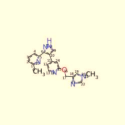 Cc1cccc(-c2n[nH]cc2-c2ccnc(OCc3cn(C)cn3)c2)n1